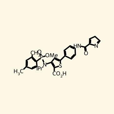 COP(=O)(c1ccc(C)cc1C)N(c1cc(-c2ccc(NC(=O)C3=CCC=N3)cc2)sc1C(=O)O)C(C)C